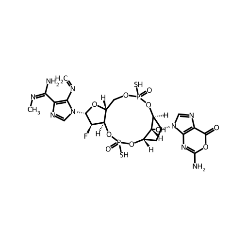 C=Nc1c(/C(N)=N\C)ncn1[C@@H]1O[C@@H]2COP(=O)(S)O[C@@H]3[C@H](O)[C@H](C[C@H]3n3cnc4c(=O)oc(N)nc43)OP(=O)(S)O[C@H]2[C@H]1F